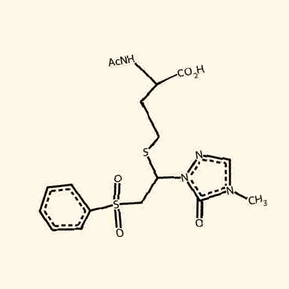 CC(=O)NC(CCSC(CS(=O)(=O)c1ccccc1)n1ncn(C)c1=O)C(=O)O